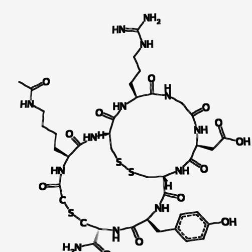 CC(=O)NCCCC[C@@H]1NC(=O)CSC[C@@H](C(N)=O)NC(=O)[C@H](Cc2ccc(O)cc2)NC(=O)[C@@H]2CSSC[C@H](NC1=O)C(=O)N[C@@H](CCCNC(=N)N)C(=O)NCC(=O)N[C@@H](CC(=O)O)C(=O)N2